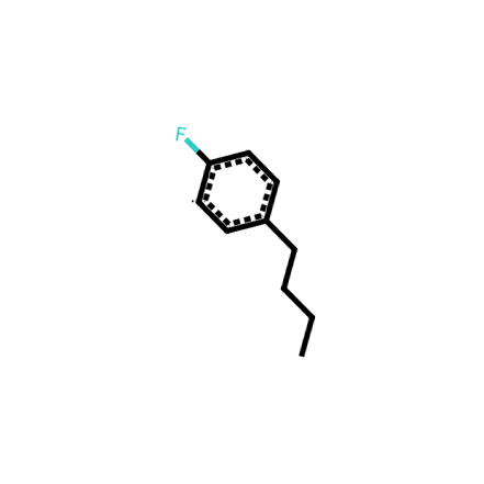 CCCCc1c[c]c(F)cc1